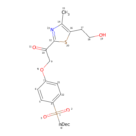 CCCCCCCCCCS(=O)(=O)c1ccc(OCC(=O)c2nc(C)c(CCO)s2)cc1